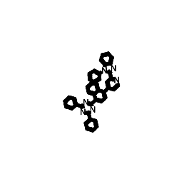 c1ccc(-c2nc(-c3ccccc3)nc(-c3ccc(-c4ccnc(-c5nc6ccccc6n5-c5ccccc5)c4)c4ccccc34)n2)cc1